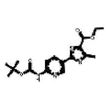 CCOC(=O)c1sc(-c2ccc(NC(=O)OC(C)(C)C)nc2)nc1C